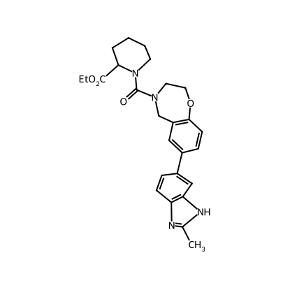 CCOC(=O)C1CCCCN1C(=O)N1CCOc2ccc(-c3ccc4nc(C)[nH]c4c3)cc2C1